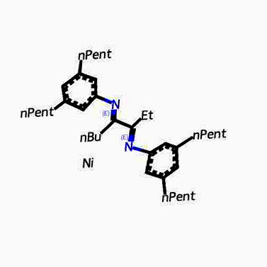 CCCCCc1cc(CCCCC)cc(/N=C(CC)/C(CCCC)=N/c2cc(CCCCC)cc(CCCCC)c2)c1.[Ni]